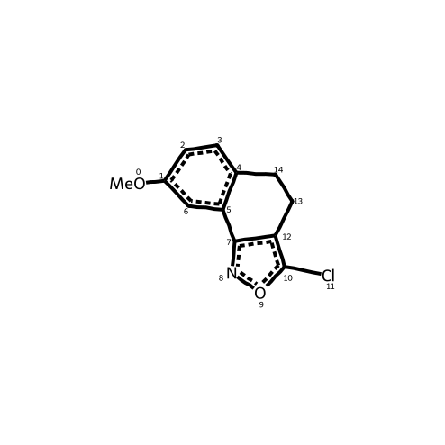 COc1ccc2c(c1)-c1noc(Cl)c1CC2